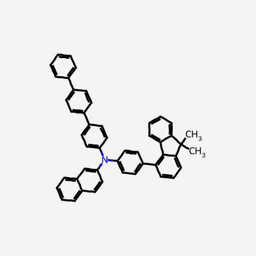 CC1(C)c2ccccc2-c2c(-c3ccc(N(c4ccc(-c5ccc(-c6ccccc6)cc5)cc4)c4ccc5ccccc5c4)cc3)cccc21